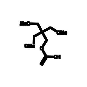 C=C(O)OCC(COC)(COC)COC